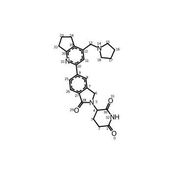 O=C1CCC(N2Cc3cc(-c4cc(CN5CCCC5)c5c(n4)CCC5)ccc3C2=O)C(=O)N1